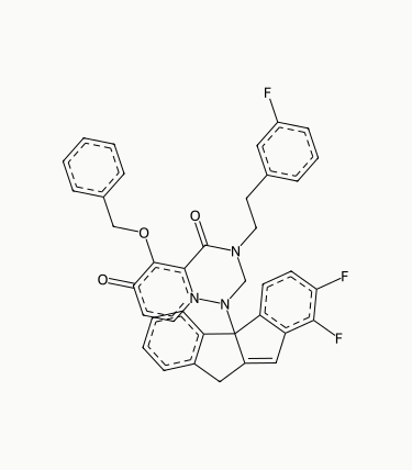 O=C1c2c(OCc3ccccc3)c(=O)ccn2N(C23C(=Cc4c2ccc(F)c4F)Cc2ccccc23)CN1CCc1cccc(F)c1